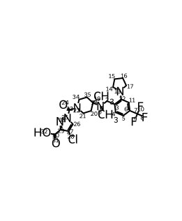 CN(Cc1ccc(C(F)(F)F)cc1N1CCCC1)C1(C)CCN(C(=O)n2cc(Cl)c(C(=O)O)n2)CC1